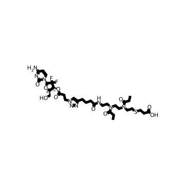 CCC(=O)N(CCNC(=O)CCCc1cn(CCC(=O)O[C@H]2[C@@H](CO)O[C@@H](n3ccc(N)nc3=O)C2(F)F)nn1)CCN(CCSCCC(=O)O)C(=O)CC